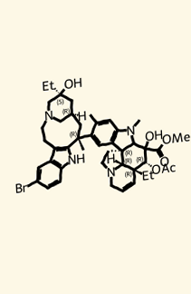 CC[C@]1(O)C[C@@H]2CN(CCc3c([nH]c4ccc(Br)cc34)[C@@](C)(c3cc4c(cc3C)N(C)C3C(O)(C(=O)OC)[C@H](OC(C)=O)[C@]5(CC)C=CCN6CC[C@]43[C@@H]65)C2)C1